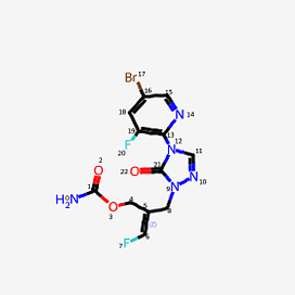 NC(=O)OC/C(=C\F)Cn1ncn(-c2ncc(Br)cc2F)c1=O